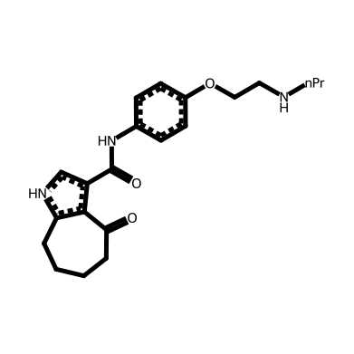 CCCNCCOc1ccc(NC(=O)c2c[nH]c3c2C(=O)CCCC3)cc1